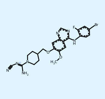 COc1cc2c(Nc3ccc(Br)cc3F)ncnc2cc1OCC1CCN(/C(N)=N/C#N)CC1